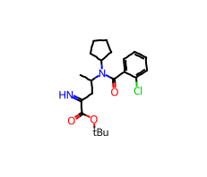 CC(CC(=N)C(=O)OC(C)(C)C)N(C(=O)c1ccccc1Cl)C1CCCC1